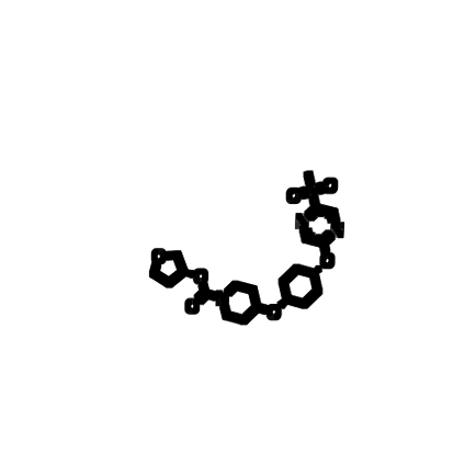 CS(=O)(=O)c1cnc(O[C@H]2CC[C@H](OC3CCN(C(=O)O[C@H]4CCOC4)CC3)CC2)cn1